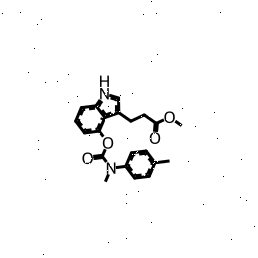 COC(=O)CCc1c[nH]c2cccc(OC(=O)N(C)c3ccc(C)cc3)c12